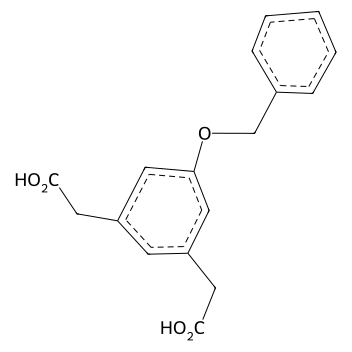 O=C(O)Cc1cc(CC(=O)O)cc(OCc2ccccc2)c1